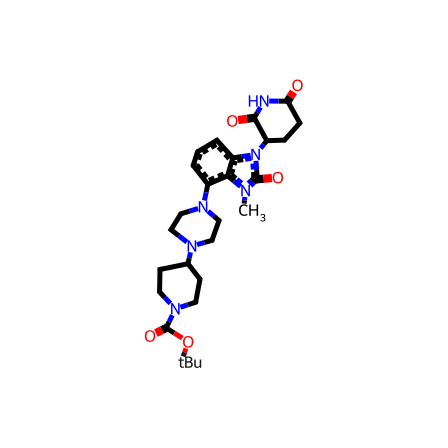 Cn1c(=O)n(C2CCC(=O)NC2=O)c2cccc(N3CCN(C4CCN(C(=O)OC(C)(C)C)CC4)CC3)c21